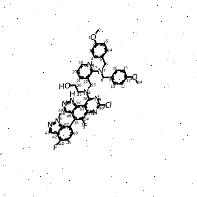 COc1ccc(CN(Cc2ccc(OC)cc2)c2ncccc2CN(CCO)c2nc(Cl)nc3c(F)c(-c4ccc(F)c5cnn(C)c45)c4cn[nH]c4c23)cc1